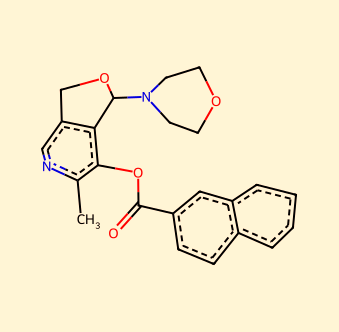 Cc1ncc2c(c1OC(=O)c1ccc3ccccc3c1)C(N1CCOCC1)OC2